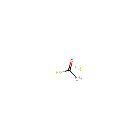 NC(=O)S.S